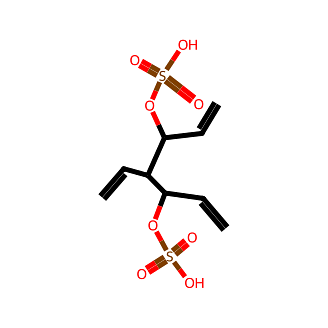 C=C[C](C(C=C)OS(=O)(=O)O)C(C=C)OS(=O)(=O)O